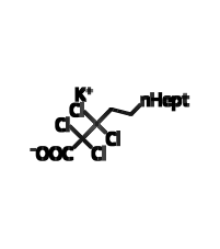 CCCCCCCCCC(Cl)(Cl)C(Cl)(Cl)C(=O)[O-].[K+]